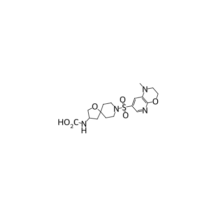 CN1CCOc2ncc(S(=O)(=O)N3CCC4(CC3)CC(NC(=O)O)CO4)cc21